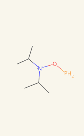 CC(C)[N+](OP)C(C)C